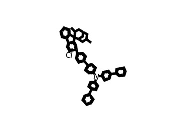 CC1CC2CC(C)C3(c4ccccc4-c4cc(Cl)c(-c5ccc(-c6ccc(N(c7ccc(-c8ccccc8)cc7)c7ccc(-c8ccccc8)cc7)cc6)cc5)cc43)C(C1)C2